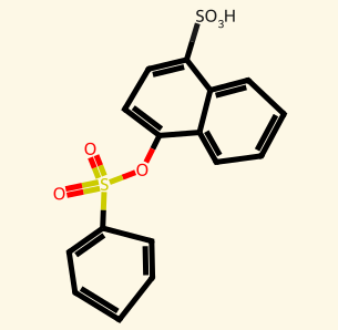 O=S(=O)(O)c1ccc(OS(=O)(=O)c2ccccc2)c2ccccc12